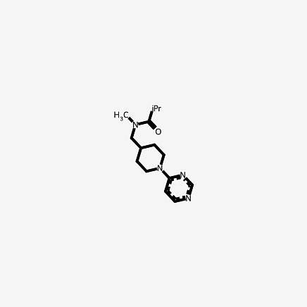 CC(C)C(=O)N(C)CC1CCN(c2ccncn2)CC1